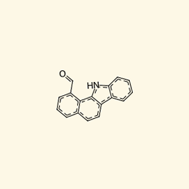 O=Cc1cccc2ccc3c4ccccc4[nH]c3c12